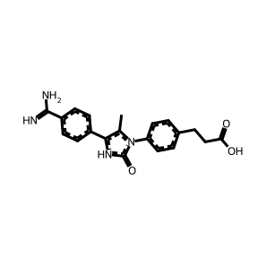 Cc1c(-c2ccc(C(=N)N)cc2)[nH]c(=O)n1-c1ccc(CCC(=O)O)cc1